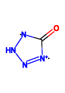 O=C1[N]NN=[N+]1